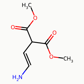 COC(=O)C(C=CN)C(=O)OC